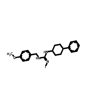 COc1ccc(CN/C(=N\I)NC2CCC(c3ccccc3)CC2)cc1